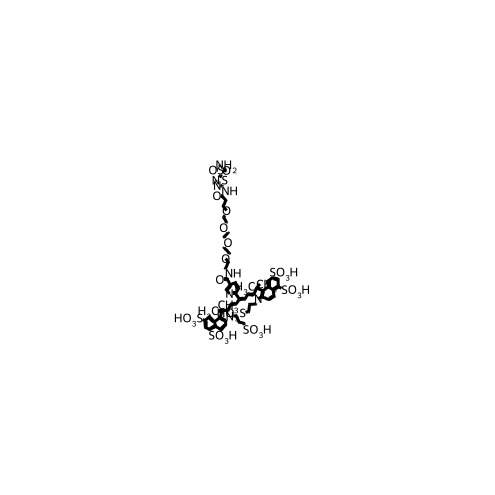 CC1(C)C(=CC=C(/C=C/C2N(CCCS(=O)(=O)O)c3ccc4c(S(=O)(=O)O)cc(S(=O)(=O)O)cc4c3C2(C)C)c2ccc(C(=O)NCCOCCOCCOCCOCCC(=O)Nc3nnc(S(N)(=O)=O)s3)cn2)N(CCCS(=O)(=O)O)c2ccc3c(S(=O)(=O)O)cc(S(=O)(=O)O)cc3c21